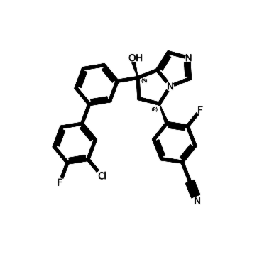 N#Cc1ccc([C@H]2C[C@](O)(c3cccc(-c4ccc(F)c(Cl)c4)c3)c3cncn32)c(F)c1